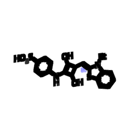 CCN1/C(=C/C2C(O)=C(Nc3ccc(S(=O)(=O)O)cc3)C2O)Sc2ccccc21